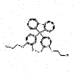 CCCc1cc(C2(c3ccc(OCCO)c(CCC)c3)c3ccccc3-c3ccccc32)ccc1OCCO